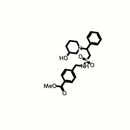 COC(=O)c1ccc(CNS(=O)(=O)CC(c2ccccc2)N2CCCC(O)C2)cc1